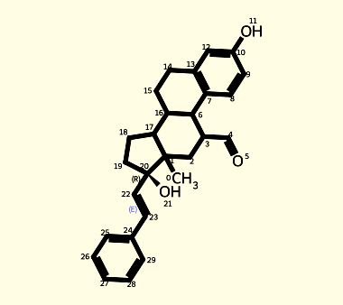 CC12CC(C=O)C3c4ccc(O)cc4CCC3C1CC[C@@]2(O)/C=C/c1ccccc1